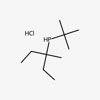 CCC(C)(CC)PC(C)(C)C.Cl